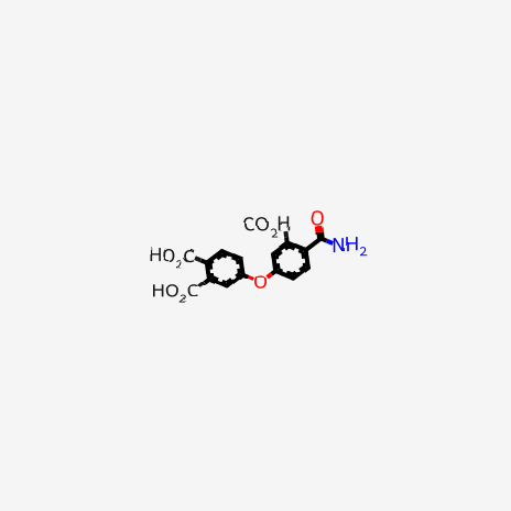 NC(=O)c1ccc(Oc2ccc(C(=O)O)c(C(=O)O)c2)cc1C(=O)O